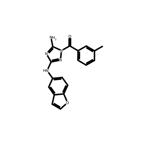 Cc1cccc(C(=O)n2nc(Nc3ccc4occc4c3)nc2N)c1